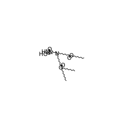 CCCCCCCCOC(=O)CCCCCCCN(CCCCCCCC(=O)OC(CCCCCCCC)CCCCCCCC)CCCN1C=CC(O)NC1=O